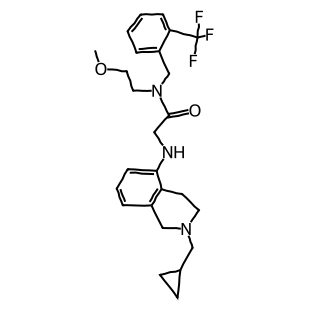 COCCN(Cc1ccccc1C(F)(F)F)C(=O)CNc1cccc2c1CCN(CC1CC1)C2